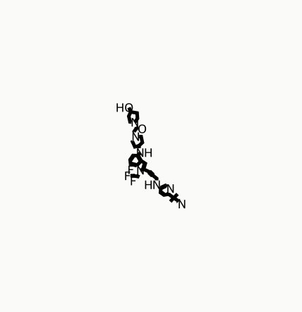 CC(C)(C#N)c1ccc(NCC#Cc2cc3c(NC4CCN(CC(=O)N5CCC(O)CC5)CC4)cccc3n2CC(F)(F)F)cn1